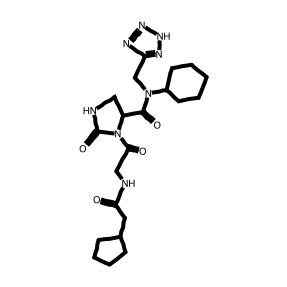 O=C(CC1CCCC1)NCC(=O)N1C(=O)NCC1C(=O)N(Cc1nn[nH]n1)C1CCCCC1